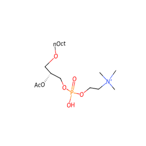 CCCCCCCCOC[C@H](COP(=O)(O)OCC[N+](C)(C)C)OC(C)=O